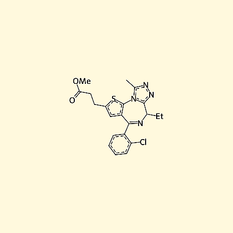 CCC1N=C(c2ccccc2Cl)c2cc(CCC(=O)OC)sc2-n2c(C)nnc21